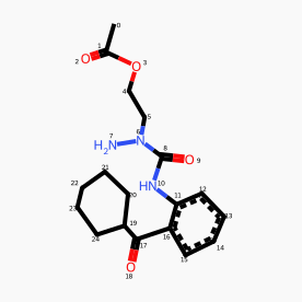 CC(=O)OCCN(N)C(=O)Nc1ccccc1C(=O)C1CCCCC1